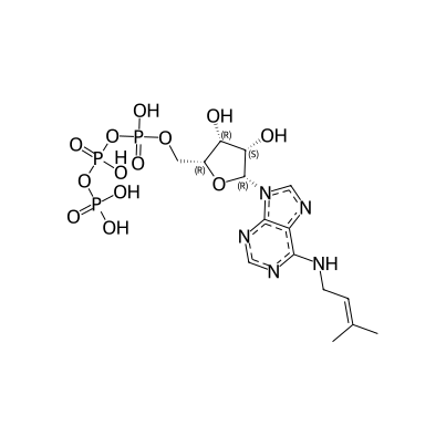 CC(C)=CCNc1ncnc2c1ncn2[C@@H]1O[C@H](COP(=O)(O)OP(=O)(O)OP(=O)(O)O)[C@H](O)[C@@H]1O